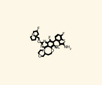 N#Cc1c(N)sc2c(F)ccc(-c3c(Cl)c4c5c(nc(OCC67CCCN6C[C@H](F)C7)nc5c3F)N3CCOCC3CCO4)c12